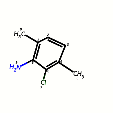 Cc1ccc(C)c(Cl)c1N